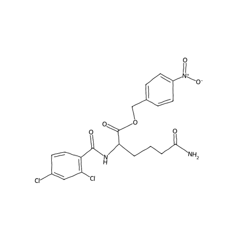 NC(=O)CCCC(NC(=O)c1ccc(Cl)cc1Cl)C(=O)OCc1ccc([N+](=O)[O-])cc1